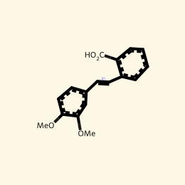 COc1ccc(/C=C/c2ccccc2C(=O)O)cc1OC